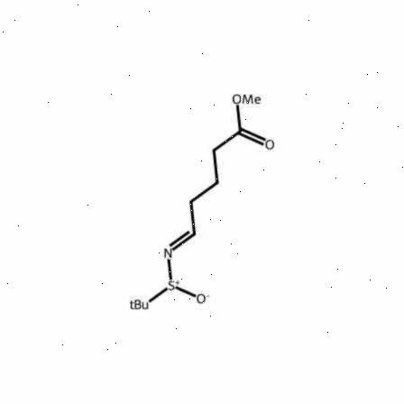 COC(=O)CCCC=N[S+]([O-])C(C)(C)C